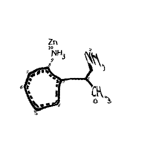 CC(N)c1ccccc1.N.[Zn]